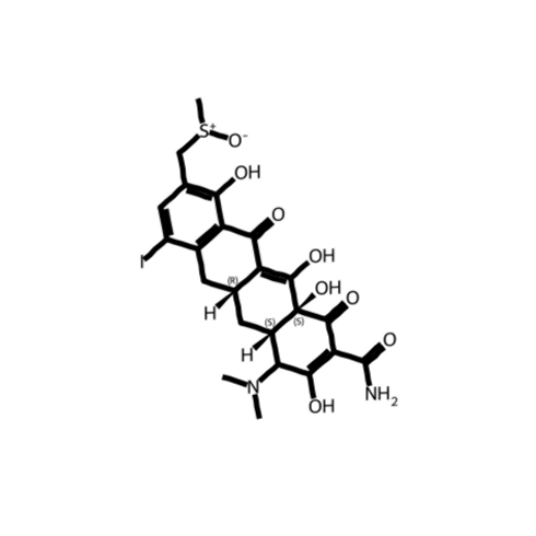 CN(C)C1C(O)=C(C(N)=O)C(=O)[C@@]2(O)C(O)=C3C(=O)c4c(O)c(C[S+](C)[O-])cc(I)c4C[C@H]3C[C@@H]12